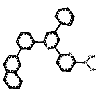 OB(O)c1cccc(-c2cc(-c3ccccc3)cc(-c3cccc(-c4ccc5ccccc5c4)c3)n2)n1